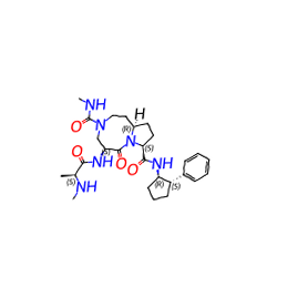 CNC(=O)N1CC[C@H]2CC[C@@H](C(=O)N[C@@H]3CCC[C@H]3c3ccccc3)N2C(=O)[C@@H](NC(=O)[C@H](C)NC)C1